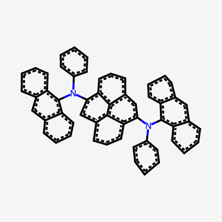 c1ccc(N(c2c3ccccc3cc3ccccc23)c2cc3cccc4c(N(c5ccccc5)c5c6ccccc6cc6ccccc56)cc5cccc2c5c34)cc1